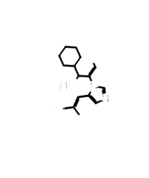 C/C(Cl)=C\c1cncn1/C(=C/F)C(O)C1CCCCC1